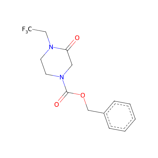 O=C1CN(C(=O)OCc2ccccc2)CCN1CC(F)(F)F